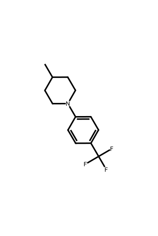 CC1CCN(c2ccc(C(F)(F)F)cc2)CC1